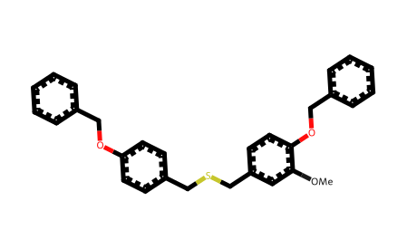 COc1cc(CSCc2ccc(OCc3ccccc3)cc2)ccc1OCc1ccccc1